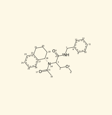 COCC(C(=O)NCc1ccccc1)N(C(C)=O)[C@H]1CCCc2ccccc21